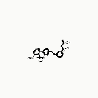 C=C(O)C[C@H](CCC)c1cccc(OCc2ccc(-c3cccc(OC)c3)c([C@@H]3CCCC3(C)C)c2)c1